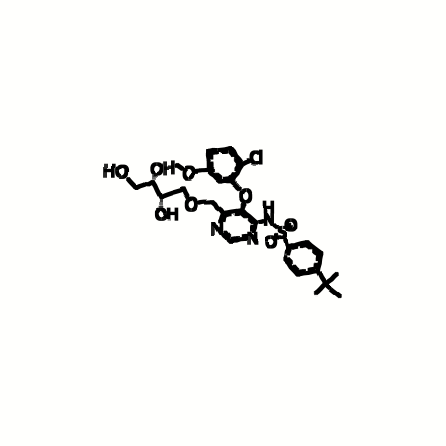 COc1ccc(Cl)c(Oc2c(COC[C@H](O)[C@@H](O)CO)ncnc2NS(=O)(=O)c2ccc(C(C)(C)C)cc2)c1